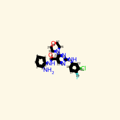 Nc1ccccc1NC(=O)c1cnc(Nc2ccc(F)c(Cl)c2)nc1N1CCOCC1